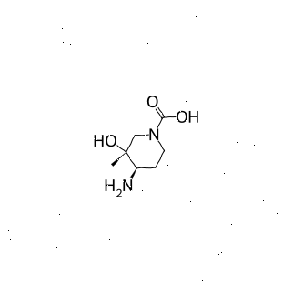 C[C@@]1(O)CN(C(=O)O)CC[C@H]1N